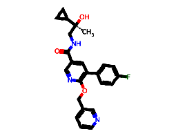 C[C@](O)(CNC(=O)c1cnc(OCc2cccnc2)c(-c2ccc(F)cc2)c1)C1CC1